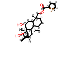 C=C1[C@H]2CC[C@]3(C(C2)[C@]2(CC)CCC[C@@](C)(COC(=O)c4cccs4)C2C[C@H]3O)[C@H]1O